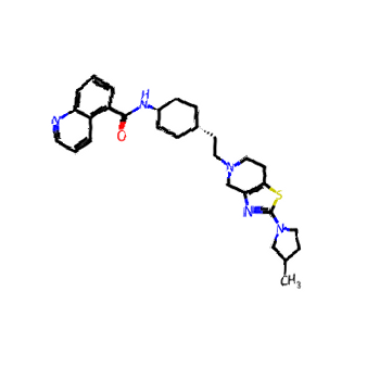 CC1CCN(c2nc3c(s2)CCN(CC[C@H]2CC[C@H](NC(=O)c4cccc5ncccc45)CC2)C3)C1